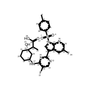 Cc1ccc(S(=O)(=O)n2cc(-c3ncc(F)c(N[C@H]4CCC[C@@](O)(C(C)C(=O)O)C4)n3)c3cc(F)cnc32)cc1